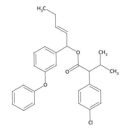 CC/C=C/C(OC(=O)C(c1ccc(Cl)cc1)C(C)C)c1cccc(Oc2ccccc2)c1